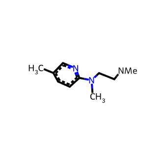 CNCCN(C)c1ccc(C)cn1